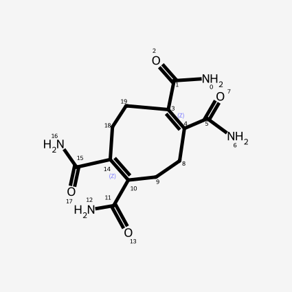 NC(=O)/C1=C(\C(N)=O)CC/C(C(N)=O)=C(/C(N)=O)CC1